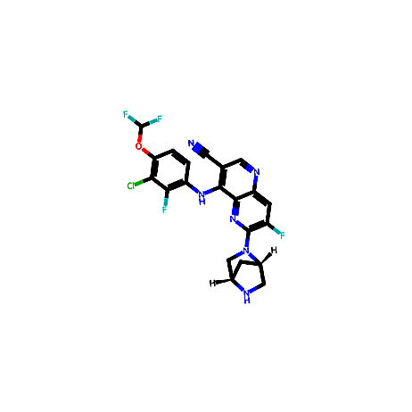 N#Cc1cnc2cc(F)c(N3C[C@@H]4C[C@H]3CN4)nc2c1Nc1ccc(OC(F)F)c(Cl)c1F